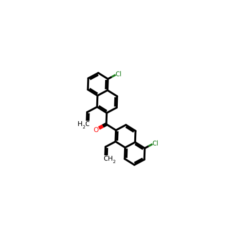 C=Cc1c(C(=O)c2ccc3c(Cl)cccc3c2C=C)ccc2c(Cl)cccc12